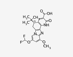 COc1cc(OC(F)F)cn2c3c(nc12)-c1[nH]c(=O)c(C(=O)O)cc1[C@H](C(C)(C)C)C3